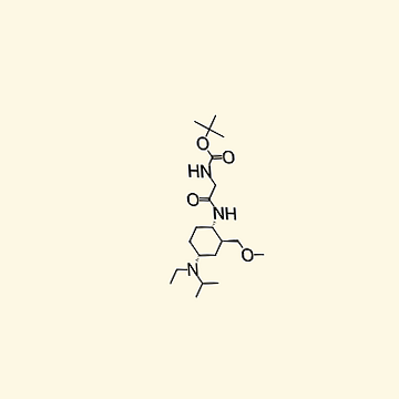 CCN(C(C)C)[C@@H]1CC[C@H](NC(=O)CNC(=O)OC(C)(C)C)[C@@H](COC)C1